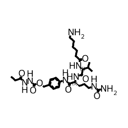 CCC(=O)NNC(=O)OCc1ccc(NC(=O)[C@H](CCCNC(N)=O)NC(=O)[C@@H](NC(=O)CCCCCN)C(C)C)cc1